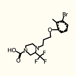 Cc1c(Br)cccc1OCCCN1CCN(C(=O)O)CC1C(F)(F)F